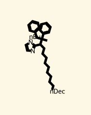 CCCCCCCCCCCCCCCCCCCC(c1nccn1CCCC)C(C)(Cc1ccccc1)c1ccccc1